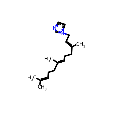 CC(C)=CCC/C(C)=C/CC/C(C)=C/Cn1ccnc1